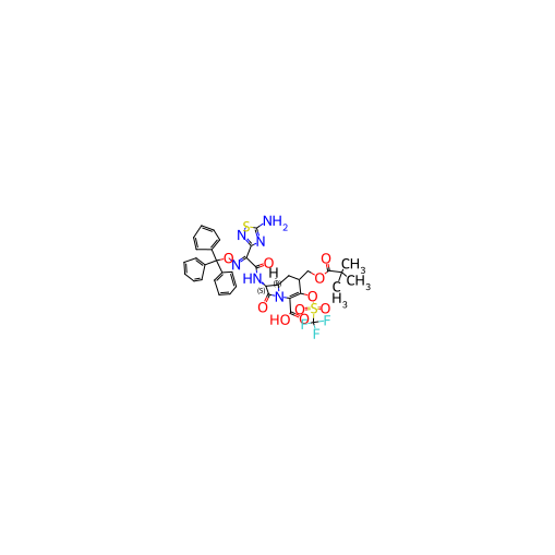 CC(C)(C)C(=O)OCC1C[C@@H]2[C@H](NC(=O)C(=NOC(c3ccccc3)(c3ccccc3)c3ccccc3)c3nsc(N)n3)C(=O)N2C(C(=O)O)=C1OS(=O)(=O)C(F)(F)F